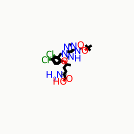 CC(CC[C@@H](N)C(=O)O)Oc1ccc(Cl)c(Cl)c1Cn1cnc2c(NC(=O)OC(C)(C)C)ncnc21